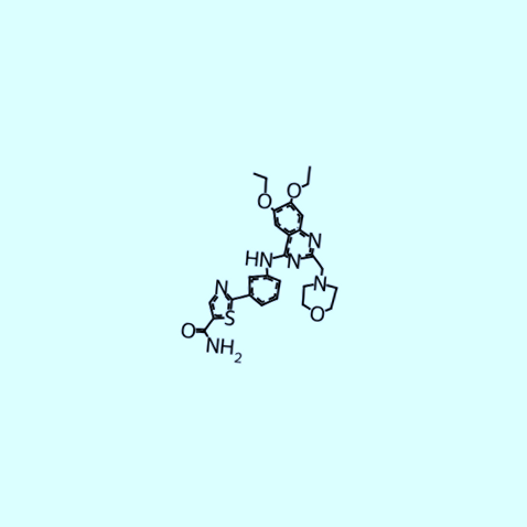 CCOc1cc2nc(CN3CCOCC3)nc(Nc3cccc(-c4ncc(C(N)=O)s4)c3)c2cc1OCC